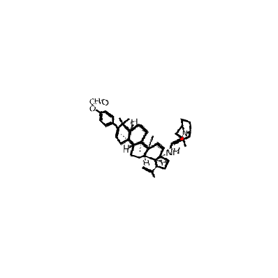 C=C(C)[C@@H]1CC[C@]2(NCCN3C4CCC3CC(C)(C)C4)CC[C@]3(C)[C@H](CC[C@@H]4[C@@]5(C)CC=C(c6ccc(OC=O)cc6)C(C)(C)[C@@H]5CC[C@]43C)[C@@H]12